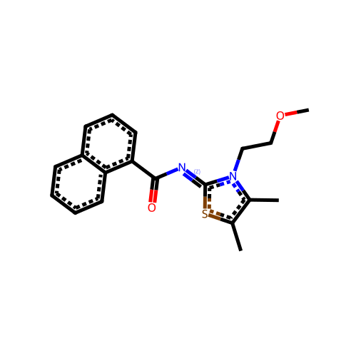 COCCn1c(C)c(C)s/c1=N\C(=O)c1cccc2ccccc12